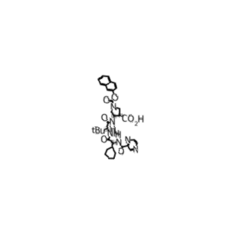 CC(C)(C)[C@H](NC(=O)[C@@H](NC(=O)c1cnccn1)C1CCCCC1)C(=O)N[C@H]1CN(C(=O)Oc2ccc3ccccc3c2)C[C@H]1C(=O)O